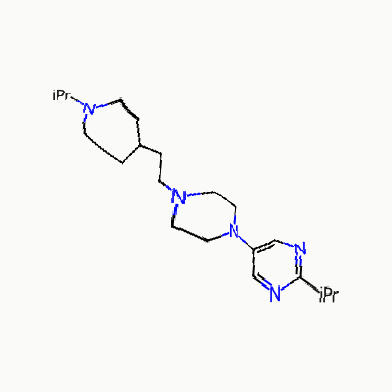 CC(C)c1ncc(N2CCN(CCC3CCN(C(C)C)CC3)CC2)cn1